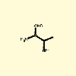 CCCC(C)N(N)C=O